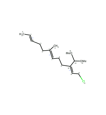 C/C=C/CC/C(C)=C/CC/C(=C/CCl)C(OC)OC